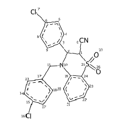 N#CC1C(c2ccc(Cl)cc2)N(Cc2ccc(Cl)cc2)c2ccccc2S1(=O)=O